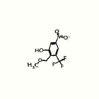 COCc1c(O)cc([N+](=O)[O-])cc1C(F)(F)F